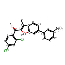 Cc1c(C(=O)c2ccc(Cl)cc2Cl)oc2cc(-c3cccc([N+](=O)[O-])c3)ccc12